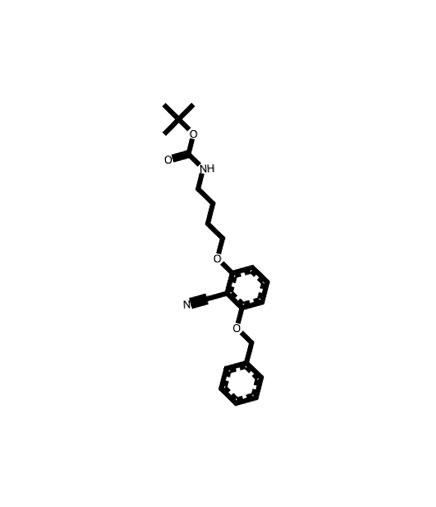 CC(C)(C)OC(=O)NCCCCOc1cccc(OCc2ccccc2)c1C#N